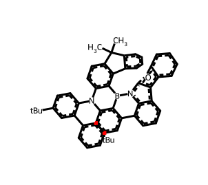 CC(C)(C)c1ccc(N2c3cc(C(C)(C)C)cc4c3B(c3c2ccc2c3-c3ccccc3C2(C)C)n2c3oc5ccccc5c3c3cccc-4c32)c(-c2ccccc2)c1